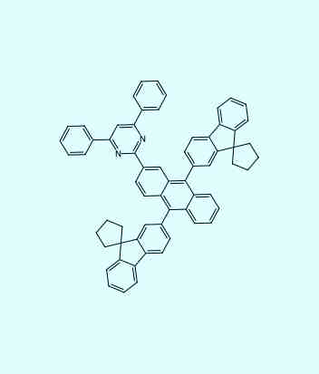 c1ccc(-c2cc(-c3ccccc3)nc(-c3ccc4c(-c5ccc6c(c5)C5(CCCC5)c5ccccc5-6)c5ccccc5c(-c5ccc6c(c5)C5(CCCC5)c5ccccc5-6)c4c3)n2)cc1